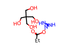 CCC(=O)On1[nH][nH]1.OCC(CO)(CO)CO